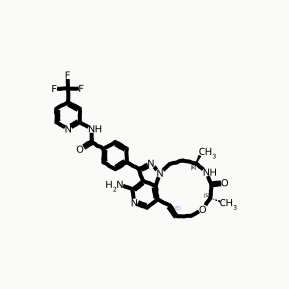 C[C@@H]1CCn2nc(-c3ccc(C(=O)Nc4cc(C(F)(F)F)ccn4)cc3)c3c(N)ncc(c32)/C=C/CO[C@@H](C)C(=O)N1